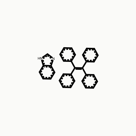 c1ccc(C(=C(c2ccccc2)c2ccccc2)c2ccccc2)cc1.c1ccc2[nH]cnc2c1